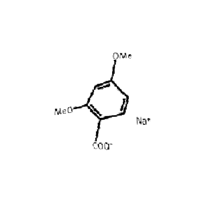 COc1ccc(C(=O)[O-])c(OC)c1.[Na+]